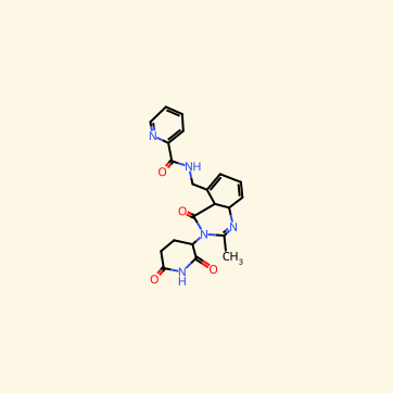 CC1=NC2C=CC=C(CNC(=O)c3ccccn3)C2C(=O)N1C1CCC(=O)NC1=O